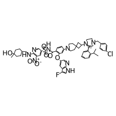 CC(C)c1ccccc1[C@@H]1CN(Cc2ccc(Cl)cc2)CCN1C1CC2(CCN(c3ccc(C(=O)NS(=O)(=O)c4cnc(NCC5CCC(C)(O)CC5)c([N+](=O)[O-])c4)c(Oc4cnc5[nH]cc(F)c5c4)c3)CC2)C1